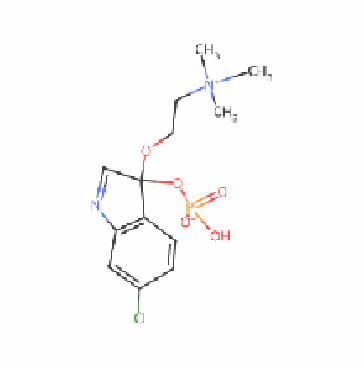 C[N+](C)(C)CCOC1(OP(=O)([O-])O)C=Nc2cc(Cl)ccc21